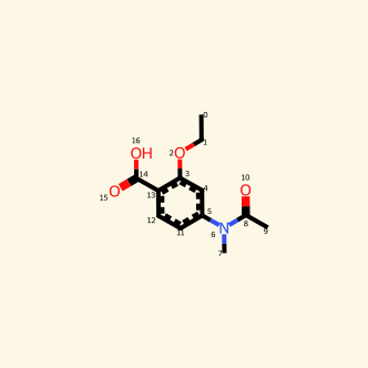 CCOc1cc(N(C)C(C)=O)ccc1C(=O)O